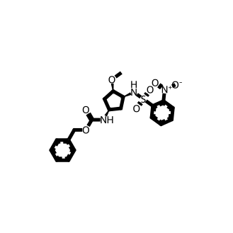 CO[C@@H]1C[C@H](NC(=O)OCc2ccccc2)C[C@@H]1NS(=O)(=O)c1ccccc1[N+](=O)[O-]